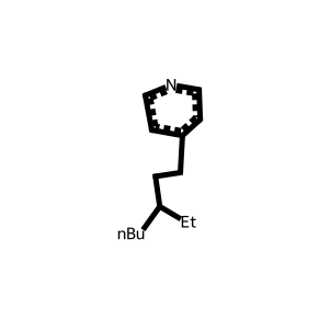 CCCCC(CC)CCc1ccncc1